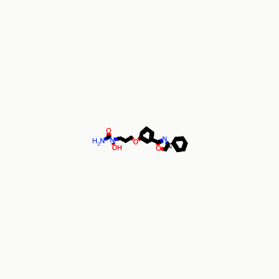 NC(=O)N(O)CCCOc1cccc(C2=N[C@H](c3ccccc3)CO2)c1